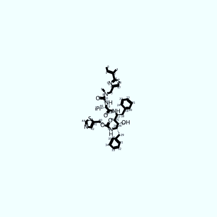 CC=C(C)c1nc(CN(C)C(=O)N[C@H](C(=O)N[C@@H](Cc2ccccc2)C[C@H](O)[C@H](Cc2ccccc2)NC(=O)OCc2cncs2)C(C)C)cs1